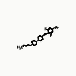 C=CCCC[C@H]1CC[C@H](C2CCC(C#Cc3c(F)cc(CCC)cc3F)CC2)CC1